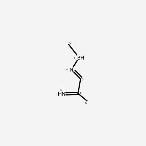 CBN=CC(C)=N